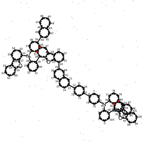 c1ccc(N(c2ccc(-c3ccc(-c4ccc5ccc(-c6cccc7c6oc6c(-c8ccccc8N(c8ccc(-c9ccc%10ccccc%10c9)cc8)c8cccc9c8oc8ccccc89)cccc67)cc5c4)cc3)cc2)c2cccc3c2oc2ccccc23)c(-c2cccc3c2oc2ccccc23)c1